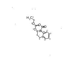 CCOC(=O)OC1CCc2ccccc2N1N=O